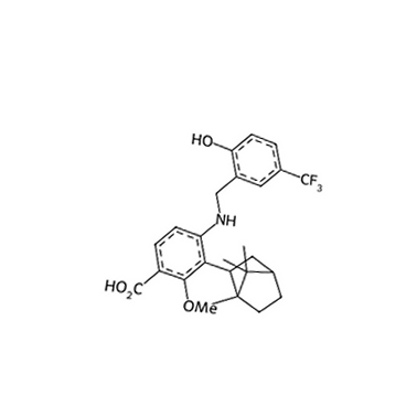 COc1c(C(=O)O)ccc(NCc2cc(C(F)(F)F)ccc2O)c1C1CC2CCC1(C)C2(C)C